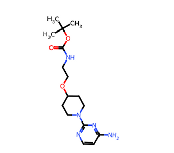 CC(C)(C)OC(=O)NCCOC1CCN(c2nccc(N)n2)CC1